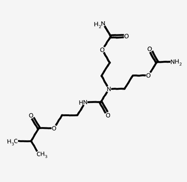 CC(C)C(=O)OCCNC(=O)N(CCOC(N)=O)CCOC(N)=O